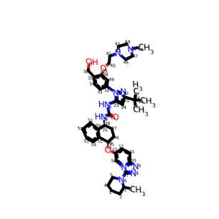 CC1CCCCN1c1nnc2ccc(O[C@@H]3CC[C@H](NC(=O)Nc4cc(C(C)(C)C)nn4-c4ccc(CO)c(OCCN5CCN(C)CC5)c4)c4ccccc43)cn12